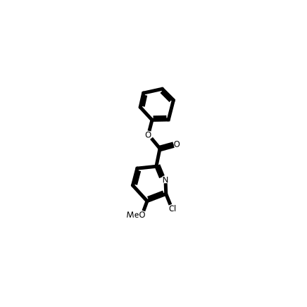 COc1ccc(C(=O)Oc2ccccc2)nc1Cl